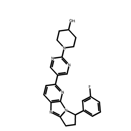 OC1CCN(c2ncc(-c3ccc4nc5n(c4n3)C(c3cccc(F)c3)CC5)cn2)CC1